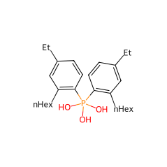 CCCCCCc1cc(CC)ccc1P(O)(O)(O)c1ccc(CC)cc1CCCCCC